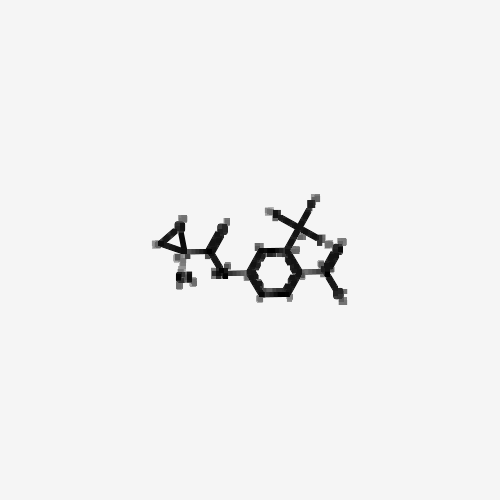 C[C@]1(C(=O)Nc2ccc([N+](=O)[O-])c(C(F)(F)F)c2)CO1